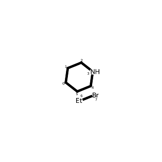 C1CCNCC1.CCBr